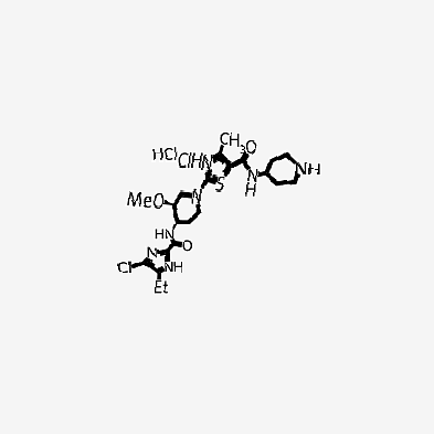 CCc1[nH]c(C(=O)N[C@@H]2CCN(c3nc(C)c(C(=O)NC4CCNCC4)s3)C[C@@H]2OC)nc1Cl.Cl.Cl